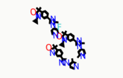 Cc1cc(-n2cc(-c3ccc4c(c3)N(C3CC3)C(=O)C4(C)C)nc2C)ccn1.Cc1cnccc1-n1cnc(-c2ccc3c(c2)N(C)C(=O)C3(C)C)c1.Cc1nc(-c2ccc3c(c2)N(C2CC2)C(=O)C3(C)C)cn1-c1ccncc1F